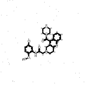 CC(C)Oc1ccc(Cl)cc1NC(=O)CN1CCc2nc3ccccc3c(C(=O)N3CCOCC3)c2C1